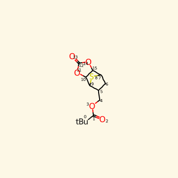 CC(C)(C)C(=O)OCC1CC2SC1C1OC(=O)OC21